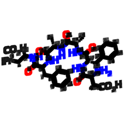 CC(C)C[C@H](NC(=O)[C@H](Cc1ccccc1)NC(=O)[C@H](C)NC(=O)[C@H](C)NC(=O)[C@H](Cc1ccccc1)NC(=O)[C@@H](N)CC(=O)O)C(=O)O